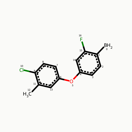 Bc1ccc(Oc2ccc(Cl)c(C)c2)cc1F